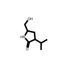 CC(C)C1CC(CO)NC1=O